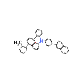 Cc1ccccc1-c1ccc(-c2ccccc2N(c2ccccc2)c2ccc(-c3ccc4ccccc4c3)cc2)cc1